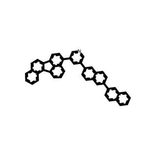 c1ccc2cc(-c3ccc4cc(-c5cncc(-c6ccc7c8c(cccc68)-c6c-7ccc7ccccc67)c5)ccc4c3)ccc2c1